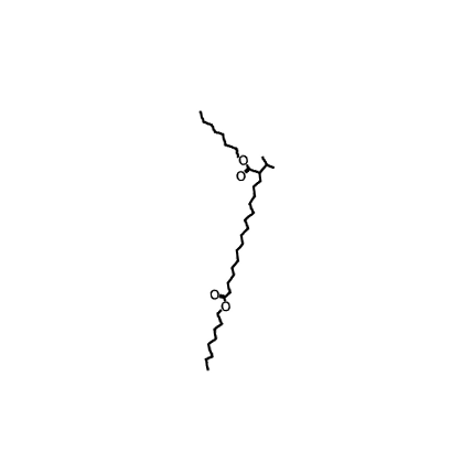 CCCCCCCCOC(=O)CCCCCCCCCCCCCCCC(C(=O)OCCCCCCCC)C(C)C